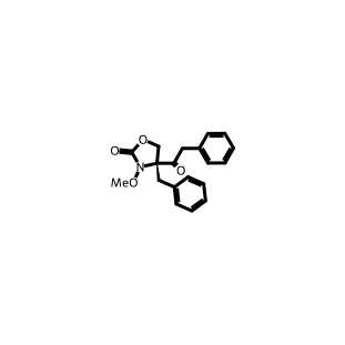 CON1C(=O)OC[C@]1(Cc1ccccc1)C(=O)Cc1ccccc1